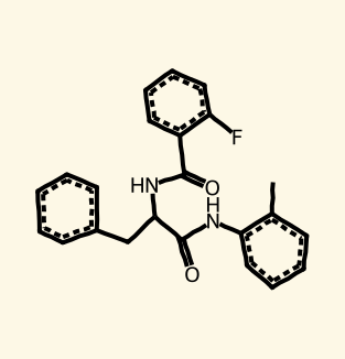 Cc1ccccc1NC(=O)C(Cc1ccccc1)NC(=O)c1ccccc1F